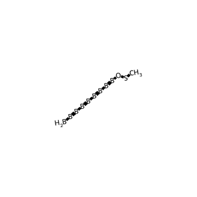 BB=BB=BB=BB=BOSC